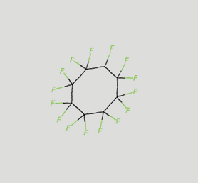 FC1C(F)(F)C(F)(F)C(F)(F)C(F)(F)C(F)(F)C(F)(F)C1(F)F